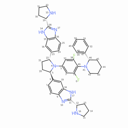 Fc1cc(N2[C@@H](c3ccc4nc([C@@H]5CCCN5)[nH]c4c3)CC[C@@H]2c2ccc3nc([C@@H]4CCCN4)[nH]c3c2)cc(F)c1N1CCCC[C@H]1c1ccccc1